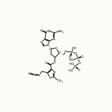 Cc1nc(C(=O)OC2C[C@H](n3cnc4c(=O)[nH]c(N)nc43)O[C@@H]2COP(=O)(O)OP(=O)(O)OP(=O)(O)O)c(CN=[N+]=[N-])s1